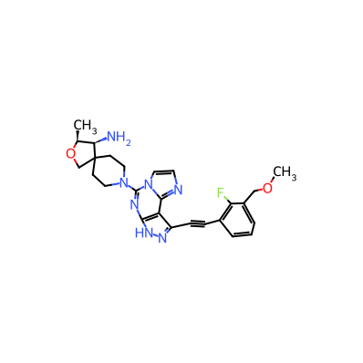 COCc1cccc(C#Cc2n[nH]c3nc(N4CCC5(CC4)CO[C@@H](C)[C@H]5N)n4ccnc4c23)c1F